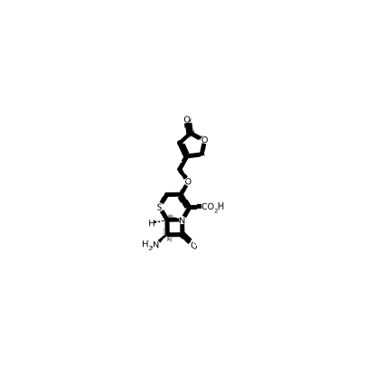 N[C@@H]1C(=O)N2C(C(=O)O)=C(OCC3=CC(=O)OC3)CS[C@H]12